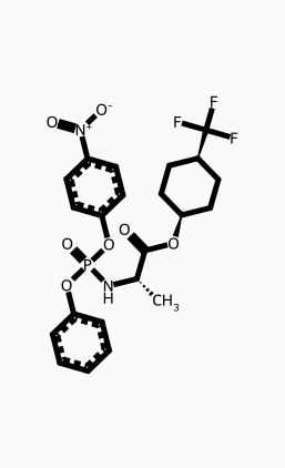 C[C@H](NP(=O)(Oc1ccccc1)Oc1ccc([N+](=O)[O-])cc1)C(=O)O[C@H]1CC[C@@H](C(F)(F)F)CC1